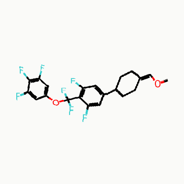 COC=C1CCC(c2cc(F)c(C(F)(F)Oc3cc(F)c(F)c(F)c3)c(F)c2)CC1